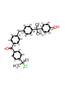 CCC(C)(Cl)c1ccc(C(=O)c2ccc(Cc3ccc(C(C)(c4ccc(O)cc4)C(F)(F)F)cc3)cc2)cc1